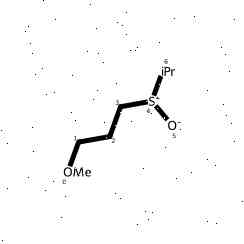 COCCC[S+]([O-])C(C)C